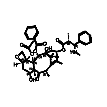 CN[C@@H](c1ccccc1)[C@@H](C)C(=O)OC1C[C@@]2(O)[C@@H](OC(=O)c3ccccc3)[C@@H]3[C@]4(OC(C)=O)CO[C@@H]4C[C@H](O)[C@@]3(C)C(=O)[C@H](C)C(=C1C)C2(C)C